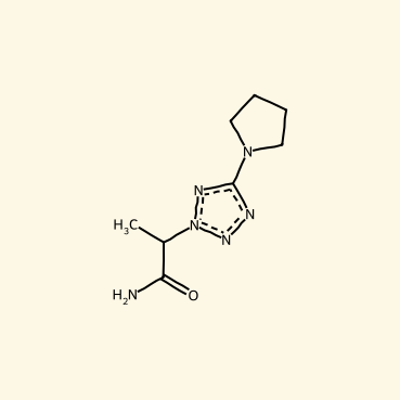 CC(C(N)=O)n1nnc(N2CCCC2)n1